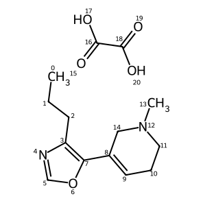 CCCc1ncoc1C1=CCCN(C)C1.O=C(O)C(=O)O